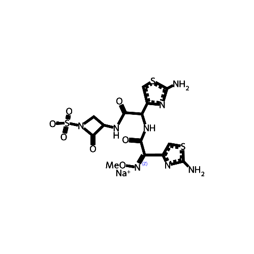 CO/N=C(\C(=O)NC(C(=O)NC1CN(S(=O)(=O)[O-])C1=O)c1csc(N)n1)c1csc(N)n1.[Na+]